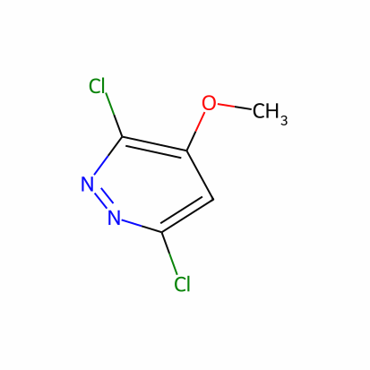 COc1cc(Cl)nnc1Cl